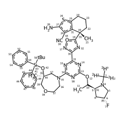 [2H]C([2H])([2H])N1C[C@H](F)C[C@H]1C(C)Oc1nc(-c2noc([C@@]3(C)CCCc4sc(N)c(C#N)c43)n2)nc(N2CCOC[C@@](C)(O[Si](c3ccccc3)(c3ccccc3)C(C)(C)C)C2)n1